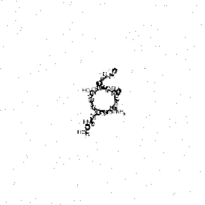 Cc1sc2nc1C(=O)N[C@@H]([C@H](O)c1ccccc1)c1nc(cs1)C(=O)N[C@@H](Cc1ccc(OCC(=O)NCCN3CCCC3)cc1)C(=O)N1C[C@H](O)[C@H](C)[C@H]1c1nc(cs1)-c1nc(cs1)-c1nc(-c3nc(C(=O)N[C@H]4CC[C@H](C(=O)O)CC4)cs3)ccc1C1=NC(CS1)C(=O)N[C@H]2CC(N)=O